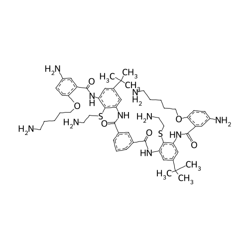 CC(C)(C)c1cc(NC(=O)c2cccc(C(=O)Nc3cc(C(C)(C)C)cc(NC(=O)c4cc(N)ccc4OCCCCCN)c3SCCN)c2)c(SCCN)c(NC(=O)c2cc(N)ccc2OCCCCCN)c1